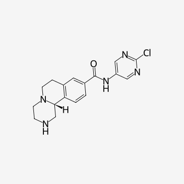 O=C(Nc1cnc(Cl)nc1)c1ccc2c(c1)CCN1CCNC[C@@H]21